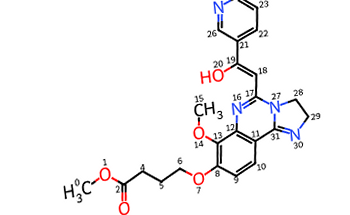 COC(=O)CCCOc1ccc2c(c1OC)N=C(C=C(O)c1cccnc1)N1CCN=C21